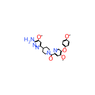 COc1ccc(Oc2cnc(C(=O)N3CCC(c4cc(OC)c(N)nn4)CC3)cc2OC)cc1